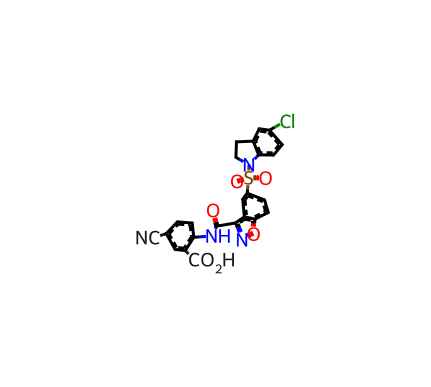 N#Cc1ccc(NC(=O)c2noc3ccc(S(=O)(=O)N4CCc5cc(Cl)ccc54)cc23)c(C(=O)O)c1